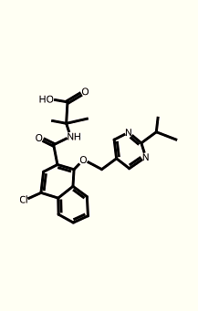 CC(C)c1ncc(COc2c(C(=O)NC(C)(C)C(=O)O)cc(Cl)c3ccccc23)cn1